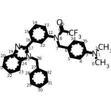 CN(C)c1ccc(CN(C(=O)C(F)(F)F)c2cccc(-c3nc4ccccc4n3Cc3ccccc3)c2)cc1